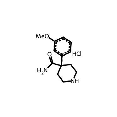 COc1cccc(C2(C(N)=O)CCNCC2)c1.Cl